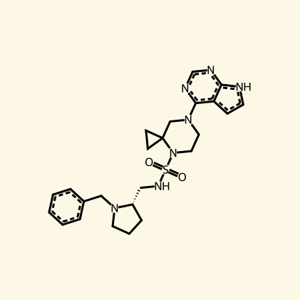 O=S(=O)(NC[C@@H]1CCCN1Cc1ccccc1)N1CCN(c2ncnc3[nH]ccc23)CC12CC2